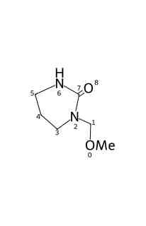 COCN1CCCNC1=O